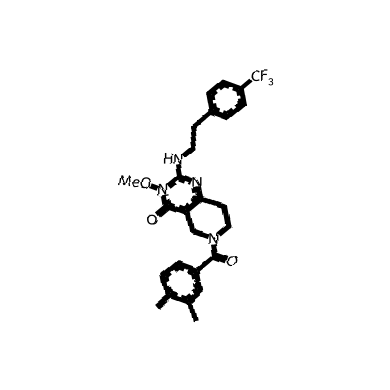 COn1c(NCCc2ccc(C(F)(F)F)cc2)nc2c(c1=O)CN(C(=O)c1ccc(C)c(C)c1)CC2